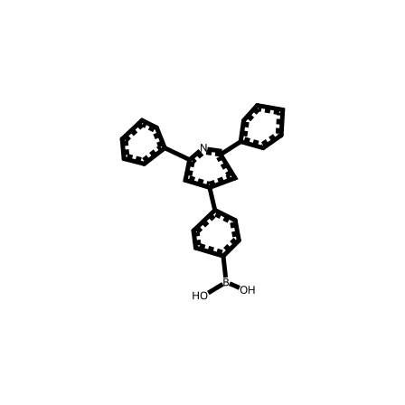 OB(O)c1ccc(-c2cc(-c3ccccc3)nc(-c3ccccc3)c2)cc1